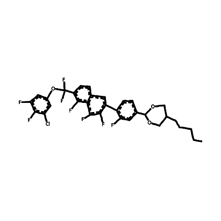 CCCCCC1COC(c2ccc(-c3cc4ccc(C(F)(F)Oc5cc(F)c(F)c(Cl)c5)c(F)c4c(F)c3F)c(F)c2)OC1